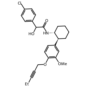 CCC#CCOc1ccc([C@@H]2CCCC[C@H]2NC(=O)C(O)c2ccc(Cl)cc2)cc1OC